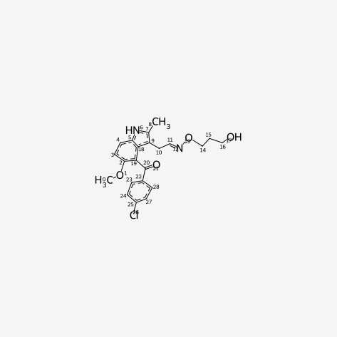 COc1ccc2[nH]c(C)c(CC=NOCCCO)c2c1C(=O)c1ccc(Cl)cc1